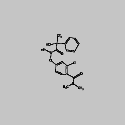 CCCN(Oc1ccc(C(=O)N(C)C)c(Cl)c1)C(=O)C(O)(c1ccccc1)C(F)(F)F